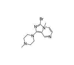 CN1CCN(C2=C3C=NC=C[N+]3(C)C(Br)=N2)CC1